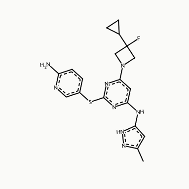 Cc1cc(Nc2cc(N3CC(F)(C4CC4)C3)nc(Sc3ccc(N)nc3)n2)[nH]n1